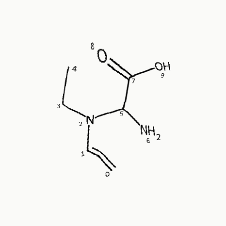 C=CN(CC)C(N)C(=O)O